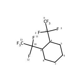 FC(F)(F)C(F)(F)C1CCCCC1C(F)(F)C(F)(F)F